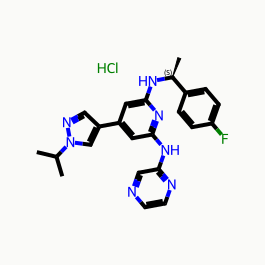 CC(C)n1cc(-c2cc(Nc3cnccn3)nc(N[C@@H](C)c3ccc(F)cc3)c2)cn1.Cl